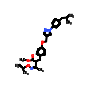 COC(=O)C(Cc1ccc(OCc2cnn(-c3ccc(CC(C)C)cc3)c2)cc1)/C(C)=N\OC(C)C